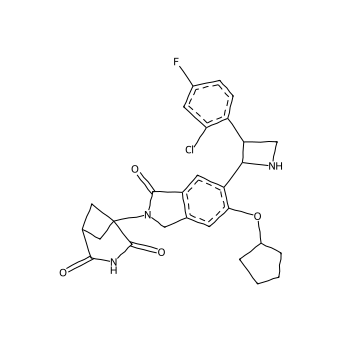 O=C1NC(=O)C2(N3Cc4cc(OC5CCCC5)c(C5NCC5c5ccc(F)cc5Cl)cc4C3=O)CC1C2